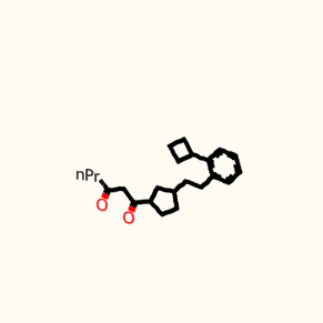 CCCC(=O)CC(=O)C1CCC(CCc2ccccc2C2CCC2)C1